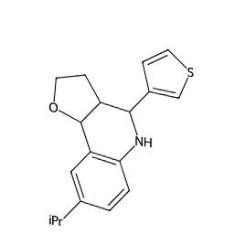 CC(C)c1ccc2c(c1)C1OCCC1C(c1ccsc1)N2